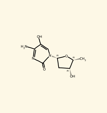 C[C@H]1O[C@@H](n2cc(O)c(N)nc2=O)C[C@H]1O